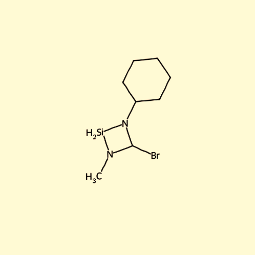 CN1[SiH2]N(C2CCCCC2)C1Br